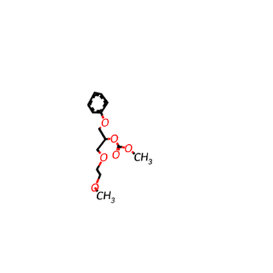 COCCOCC(COc1ccccc1)OC(=O)OC